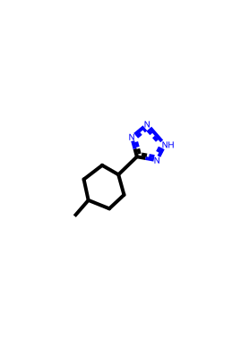 CC1CCC(c2nn[nH]n2)CC1